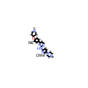 COc1nc(Nc2nccc(-c3ccc(OC4CCN(C)CC4)c(C#N)c3)n2)ccc1N1CCN(C)CC1